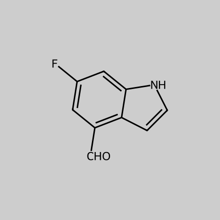 O=Cc1cc(F)cc2[nH]ccc12